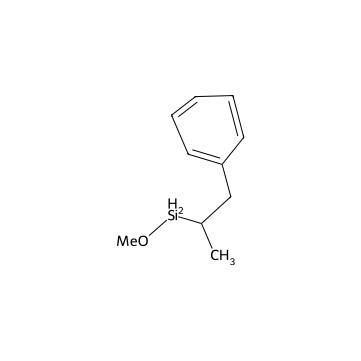 CO[SiH2]C(C)Cc1ccccc1